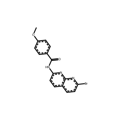 COc1ccc(C(=O)Nc2ccc3ccc(Br)nc3n2)cc1